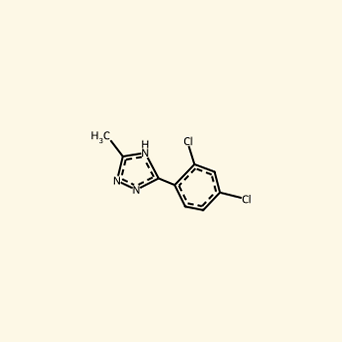 Cc1nnc(-c2ccc(Cl)cc2Cl)[nH]1